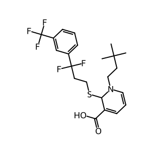 CC(C)(C)CCN1C=CC=C(C(=O)O)C1SCCC(F)(F)c1cccc(C(F)(F)F)c1